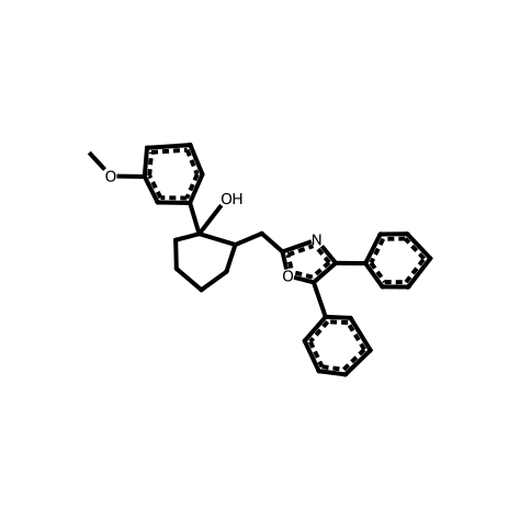 COc1cccc(C2(O)CCCCC2Cc2nc(-c3ccccc3)c(-c3ccccc3)o2)c1